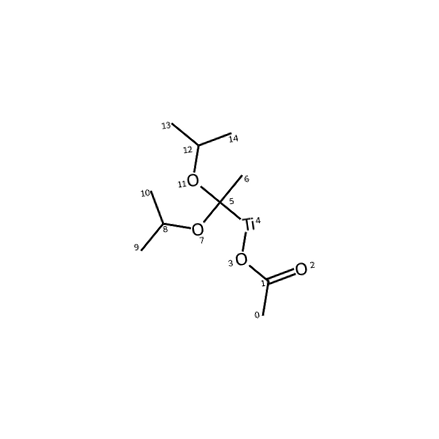 CC(=O)[O][Ti][C](C)(OC(C)C)OC(C)C